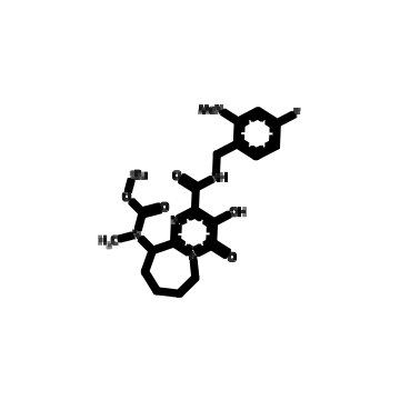 CNc1cc(F)ccc1CNC(=O)c1nc2n(c(=O)c1O)CCCCC2N(C)C(=O)OC(C)(C)C